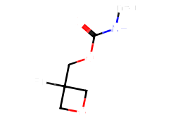 CCCCNC(=O)OCC1(CC)COC1